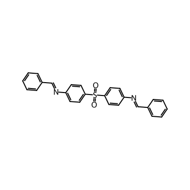 O=S(=O)(c1ccc(N=Cc2ccccc2)cc1)c1ccc(N=Cc2ccccc2)cc1